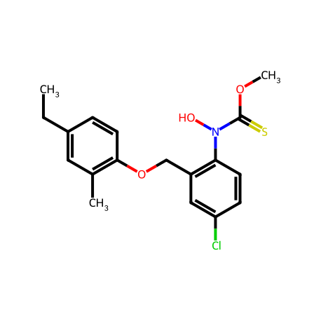 CCc1ccc(OCc2cc(Cl)ccc2N(O)C(=S)OC)c(C)c1